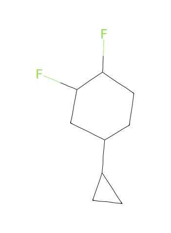 FC1CCC(C2CC2)CC1F